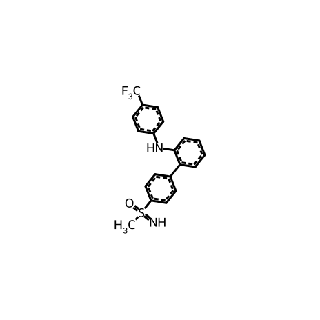 CS(=N)(=O)c1ccc(-c2ccccc2Nc2ccc(C(F)(F)F)cc2)cc1